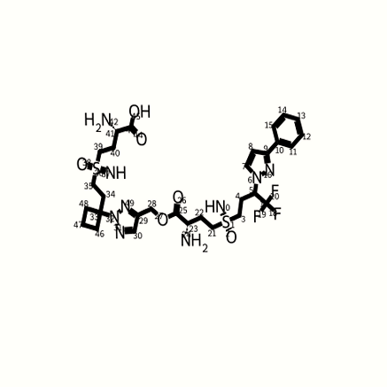 N=S(=O)(CCC(n1ccc(-c2ccccc2)n1)C(F)(F)F)CC[C@H](N)C(=O)OCc1cnn(C2(CCS(=N)(=O)CC[C@H](N)C(=O)O)CCC2)n1